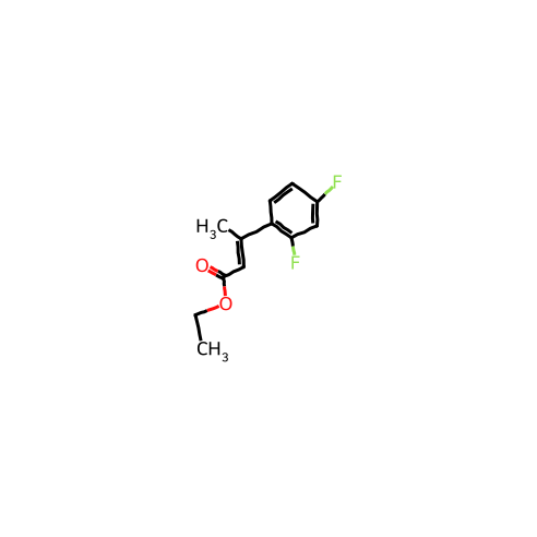 CCOC(=O)C=C(C)c1ccc(F)cc1F